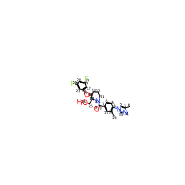 Cc1cn(-c2ccc(C(=O)N3CCC[C@H](Oc4cc(F)cc(F)c4)[C@@H]3CO)cc2C)cn1